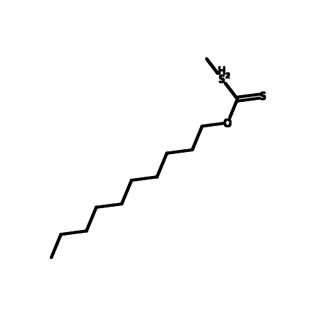 CCCCCCCCCCOC(=S)[SH2]C